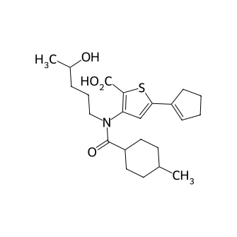 CC(O)CCCN(C(=O)C1CCC(C)CC1)c1cc(C2=CCCC2)sc1C(=O)O